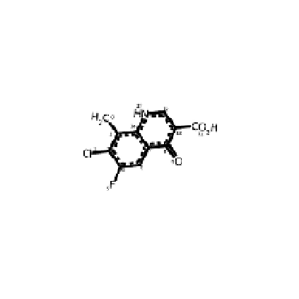 Cc1c(Cl)c(F)cc2c(=O)c(C(=O)O)c[nH]c12